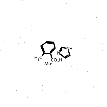 Cc1ccccc1C(=O)O.[Mn].c1c[nH]cn1